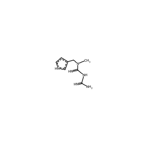 CN(Cc1cc[nH]c1)C(=N)NC(=N)N